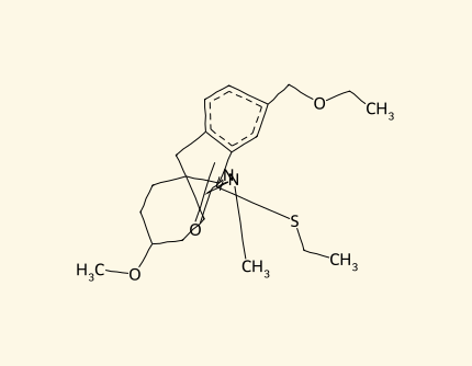 CCOCc1ccc2c(c1)C1(N=C(SCC)N(C)C1=O)C1(CCC(OC)CC1)C2